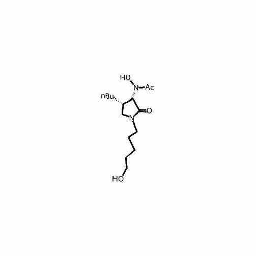 CCCC[C@H]1CN(CCCCCO)C(=O)[C@H]1N(O)C(C)=O